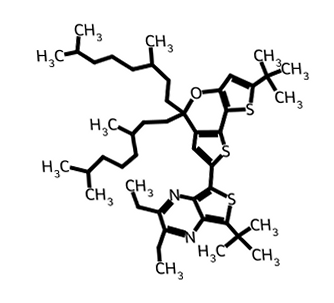 CCc1nc2c(-c3cc4c(s3)-c3sc(C(C)(C)C)cc3OC4(CCC(C)CCCC(C)C)CCC(C)CCCC(C)C)sc(C(C)(C)C)c2nc1CC